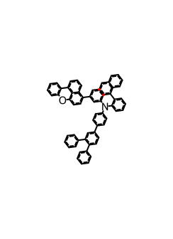 c1ccc(-c2ccc(-c3ccc(N(c4cccc(-c5ccc6c7c(cccc57)-c5ccccc5O6)c4)c4ccccc4-c4cccc5ccccc45)cc3)cc2-c2ccccc2)cc1